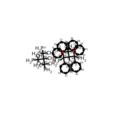 CC(C(P)(c1ccccc1)c1ccccc1)(C(P)(c1ccccc1)c1ccccc1)C(P)(c1ccccc1)c1ccccc1.CC(C)(P)C(C)(C(C)(C)P)C(C)(C)P